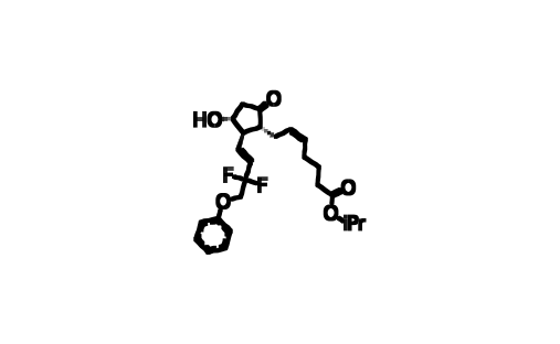 CC(C)OC(=O)CCC/C=C\C[C@H]1C(=O)C[C@@H](O)[C@@H]1/C=C/C(F)(F)COc1ccccc1